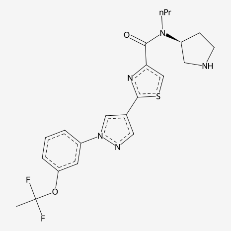 CCCN(C(=O)c1csc(-c2cnn(-c3cccc(OC(C)(F)F)c3)c2)n1)[C@H]1CCNC1